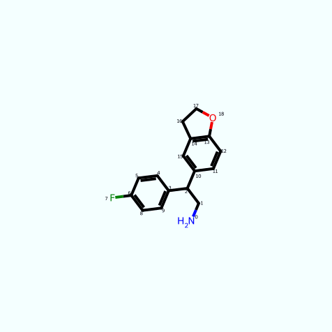 NCC(c1ccc(F)cc1)c1ccc2c(c1)CCO2